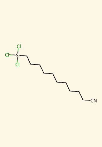 N#CCCCCCCCCCC[Si](Cl)(Cl)Cl